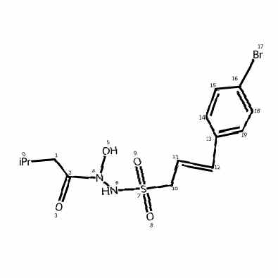 CC(C)CC(=O)N(O)NS(=O)(=O)CC=Cc1ccc(Br)cc1